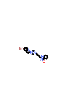 Cn1c(CCCCN2CCN(c3ccc4cc(Br)ccc4n3)CC2)nc2c(c1=O)CCCC2